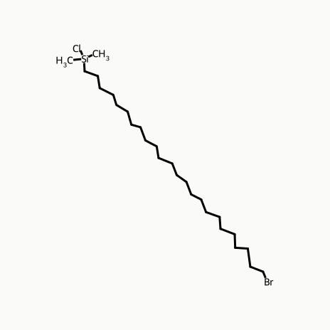 C[Si](C)(Cl)CCCCCCCCCCCCCCCCCCCCCCCCBr